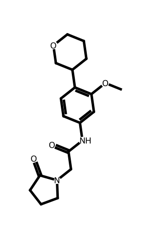 COc1cc(NC(=O)CN2CCCC2=O)ccc1C1CCCOC1